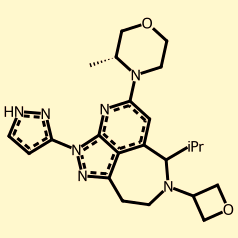 CC(C)C1c2cc(N3CCOC[C@H]3C)nc3c2c(nn3-c2cc[nH]n2)CCN1C1COC1